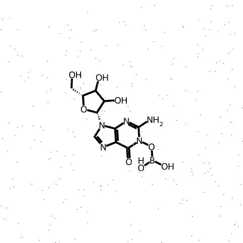 Nc1nc2c(ncn2[C@@H]2O[C@H](CO)C(O)C2O)c(=O)n1OB(O)O